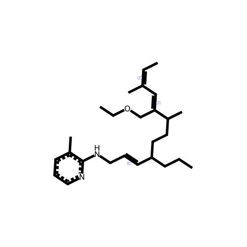 C/C=C(C)\C=C(/COCC)C(C)CCC(/C=C/CNc1ncccc1C)CCC